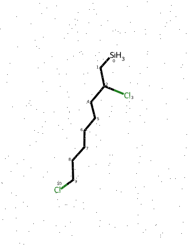 [SiH3]CC(Cl)CCCCCCCl